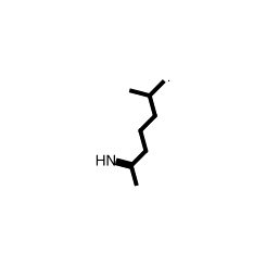 [CH2]C(C)CCCC(C)=N